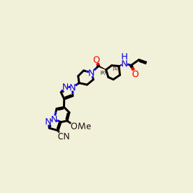 C=CC(=O)N[C@H]1CCC[C@@H](C(=O)N2CCC(n3cc(-c4cc(OC)c5c(C#N)cnn5c4)cn3)CC2)C1